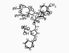 CC(C)[Si]1(C(C)C)OC[C@H]2O[C@@H](n3cc(F)c4c(=O)n(C)cnc43)[C@H](OP(=S)(OCCC#N)OC[C@H]3C[C@@H](Oc4ccncn4)C[C@@H]3O[PH](=O)O)[C@@H]2O[Si](C(C)C)(C(C)C)O1